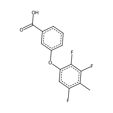 Cc1c(F)cc(Oc2cccc(C(=O)O)c2)c(F)c1F